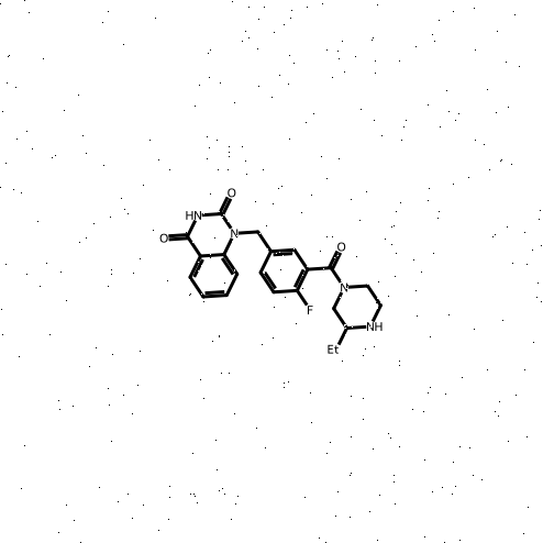 CCC1CN(C(=O)c2cc(Cn3c(=O)[nH]c(=O)c4ccccc43)ccc2F)CCN1